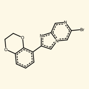 Brc1cn2cc(-c3cccc4c3OCCO4)nc2cn1